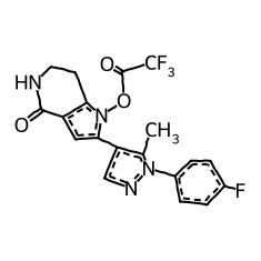 Cc1c(-c2cc3c(n2OC(=O)C(F)(F)F)CCNC3=O)cnn1-c1ccc(F)cc1